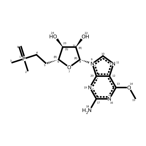 C=P(C)(C)CC[C@H]1O[C@@H](n2cnc3c(OC)nc(N)nc32)[C@H](O)[C@@H]1O